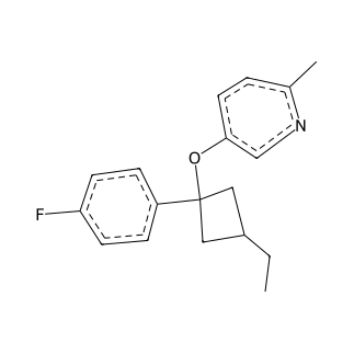 CCC1CC(Oc2ccc(C)nc2)(c2ccc(F)cc2)C1